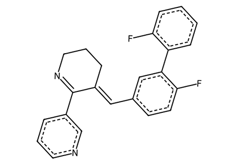 Fc1ccccc1-c1cc(C=C2CCCN=C2c2cccnc2)ccc1F